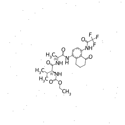 CCOC(=O)N[C@H](C(=O)N[C@@H](C)C(=O)Nc1ccc(NC(=O)C(F)(F)F)c2c1CCCC2=O)C(C)C